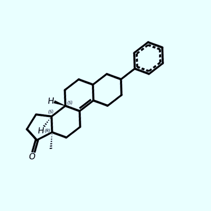 C[C@@]12CCC3=C4CCC(c5ccccc5)CC4CC[C@H]3[C@@H]1CCC2=O